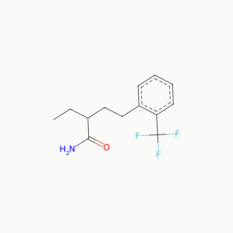 CCC(CCc1ccccc1C(F)(F)F)C(N)=O